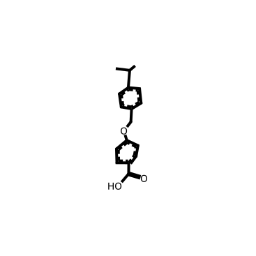 CC(C)c1ccc(COc2ccc(C(=O)O)cc2)cc1